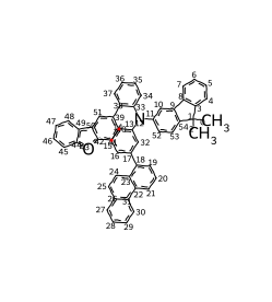 CC1(C)c2ccccc2-c2cc(N(c3cccc(-c4cccc5c4ccc4ccccc45)c3)c3ccccc3-c3ccc4oc5ccccc5c4c3)ccc21